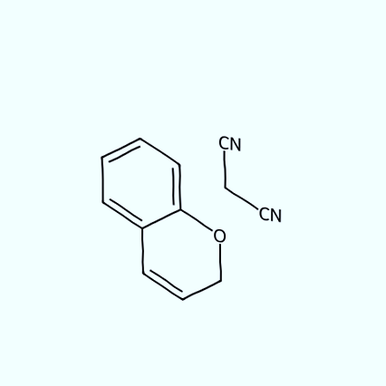 C1=Cc2ccccc2OC1.N#CCC#N